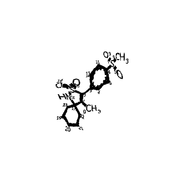 CC1=C(c2ccc(S(C)(=O)=O)cc2)S(=O)(=O)NC12CCCCC2